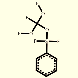 FOC(F)(OF)O[Si](F)(F)c1ccccc1